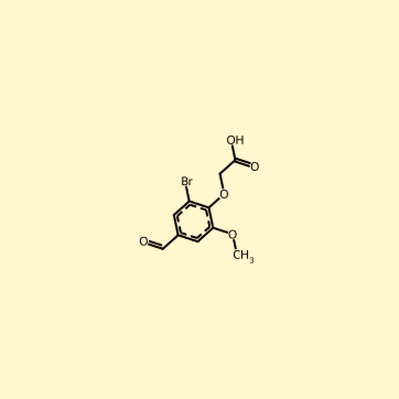 COc1cc(C=O)cc(Br)c1OCC(=O)O